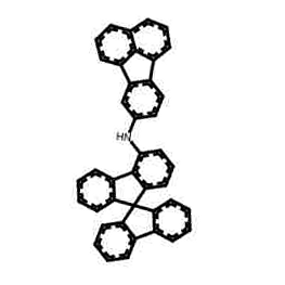 c1ccc2c(c1)-c1ccccc1C21c2ccccc2-c2c(Nc3ccc4c(c3)-c3cccc5cccc-4c35)cccc21